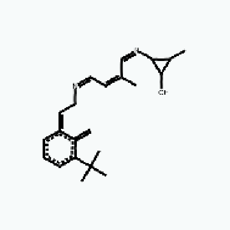 C=c1c(C(C)(C)C)ccc/c1=C/C\N=C/C=C(C)\C=N/C1C(C)C1O